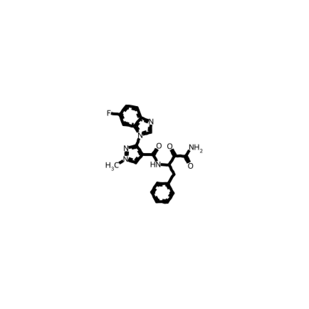 Cn1cc(C(=O)NC(Cc2ccccc2)C(=O)C(N)=O)c(-n2cnc3ccc(F)cc32)n1